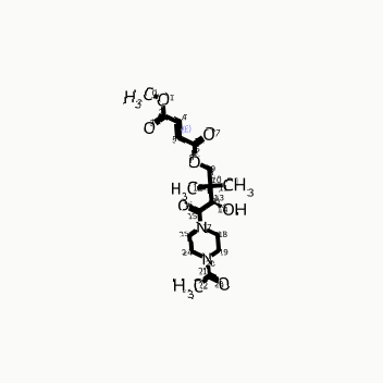 COC(=O)/C=C/C(=O)OCC(C)(C)[C@@H](O)C(=O)N1CCN(C(C)=O)CC1